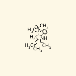 CC/C=C(/C=C\C=C(C)C)NC1c2ccccc2N(C(C)=O)C(CC)[C@H]1C